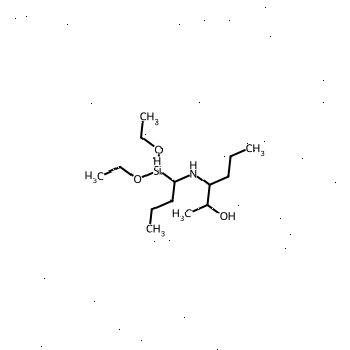 CCCC(NC(CCC)[SiH](OCC)OCC)C(C)O